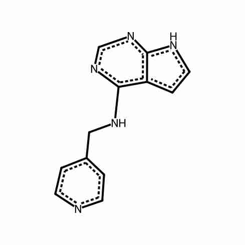 c1cc(CNc2ncnc3[nH]ccc23)ccn1